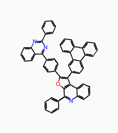 c1ccc(-c2nc(-c3ccc(-c4oc5c(-c6ccccc6)nc6ccccc6c5c4-c4ccc5c6ccccc6c6ccccc6c5c4)cc3)c3ccccc3n2)cc1